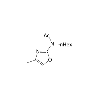 CCCCCCN(C(C)=O)c1nc(C)co1